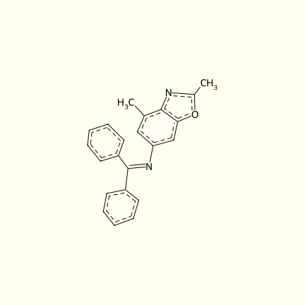 Cc1nc2c(C)cc(N=C(c3ccccc3)c3ccccc3)cc2o1